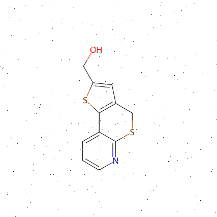 OCc1cc2c(s1)-c1cccnc1SC2